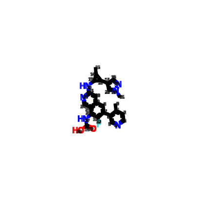 Cc1ccncc1-c1cc2cc(NC3C(C)C3c3cnn(C)c3)ncc2c(NC(=O)O)c1F